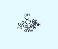 O=P(O)(O)O[C@@H]1[C@H](OP(=O)(O)O)[C@@H](CO)OC(O)[C@H]1OP(=O)(O)O